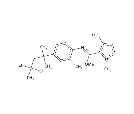 CCC(C)(C)CC(C)(C)c1ccc(/N=C(\OC)c2n(C)cc[n+]2C)c(C)c1